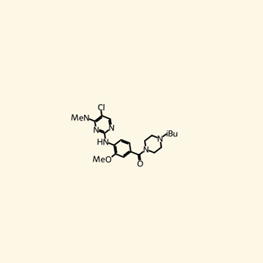 CCC(C)N1CCN(C(=O)c2ccc(Nc3ncc(Cl)c(NC)n3)c(OC)c2)CC1